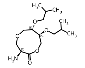 CC(C)CO[C@H]1COC[C@H](N)C(=O)OC[C@@H]1OCC(C)C